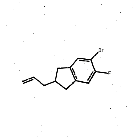 C=CCC1Cc2cc(F)c(Br)cc2C1